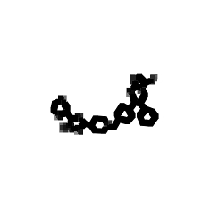 Fc1cnc2nc(-c3ccc(CN4CCC(c5n[nH]c(-c6cnccn6)n5)CC4)cc3)c(-c3ccccc3)cn12